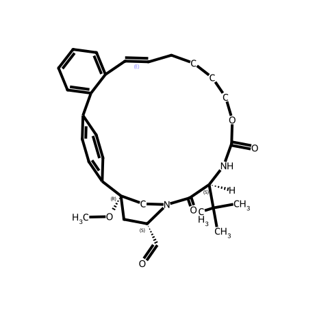 CO[C@@]12C[C@@H](C=O)N(C1)C(=O)[C@H](C(C)(C)C)NC(=O)OCCCC/C=C/c1ccccc1-c1ccc2cc1